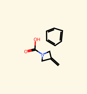 C=C1CN(C(=O)O)C1.c1ccccc1